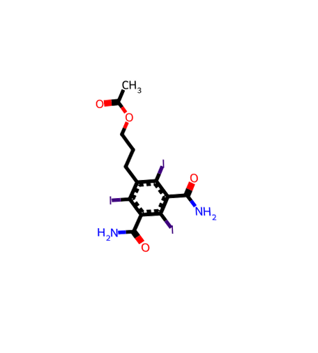 CC(=O)OCCCc1c(I)c(C(N)=O)c(I)c(C(N)=O)c1I